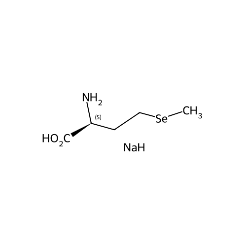 C[Se]CC[C@H](N)C(=O)O.[NaH]